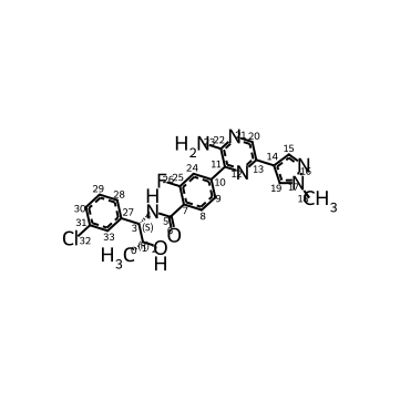 C[C@@H](O)[C@@H](NC(=O)c1ccc(-c2nc(-c3cnn(C)c3)cnc2N)cc1F)c1cccc(Cl)c1